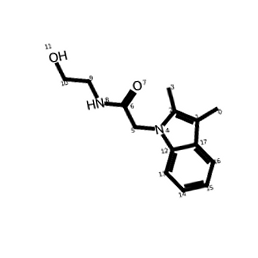 Cc1c(C)n(CC(=O)NCCO)c2ccccc12